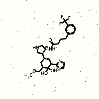 COCC1CC(C2CNC[C@@H]2NC(=O)CCCc2cccc(C(F)(F)F)c2)CC(c2nccs2)C1(O)O